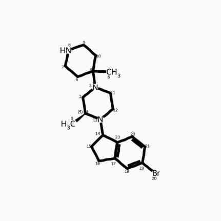 C[C@H]1CN(C2(C)CCNCC2)CCN1C1CCc2cc(Br)ccc21